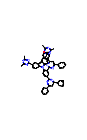 Cc1nc(C)nc(-c2ccc3c(c2)c2cc(-c4nc(C)nc(C)n4)ccc2n3-c2ccc(-c3nc(-c4ccccc4)cc(-c4ccccc4)n3)cc2-c2nc(-c3ccccc3)cc(-c3ccccc3)n2)n1